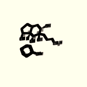 CC(=O)Oc1ccccc1.O=C(O)CCC[C@]1(O)[C@H](O)[C@H]2[C@@H](O)CCN2C[C@@H]1O